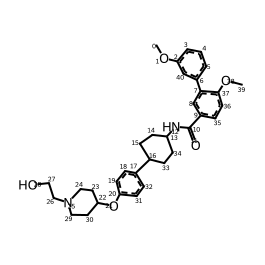 COc1cccc(-c2cc(C(=O)NC3CCC(c4ccc(OC5CCN(CCO)CC5)cc4)CC3)ccc2OC)c1